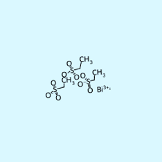 CCS(=O)(=O)[O-].CCS(=O)(=O)[O-].CCS(=O)(=O)[O-].[Bi+3]